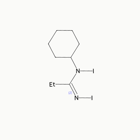 CC/C(=N/I)N(I)C1CCCCC1